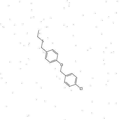 [CH2]CSCc1ccc(OCc2ccc(Cl)cc2)cc1